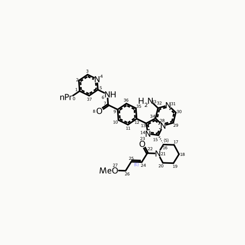 CCCc1ccnc(NC(=O)c2ccc(-c3nc([C@@H]4CCCCN4C(=O)/C=C/COC)n4ccnc(N)c34)cc2)c1